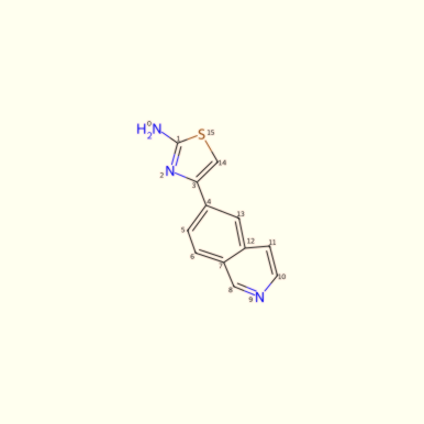 Nc1nc(-c2ccc3cnccc3c2)cs1